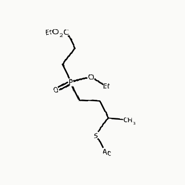 CCOC(=O)CCP(=O)(CCC(C)SC(C)=O)OCC